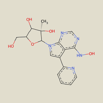 C[C@@]1(O)C(O)C(CO)OC1n1cc(-c2ccccn2)c2c(NO)ncnc21